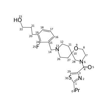 CC(C)c1nc(C(=O)N2CCOC3(CCN(Cc4cccc(CCCO)c4F)CC3)C2)cs1